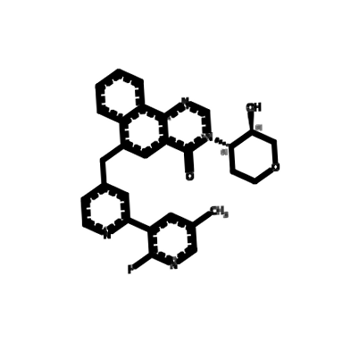 Cc1cnc(F)c(-c2cc(Cc3cc4c(=O)n([C@H]5CCOC[C@@H]5O)cnc4c4ccccc34)ccn2)c1